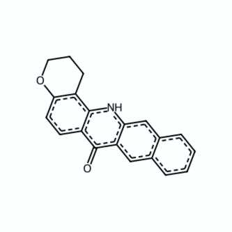 O=c1c2cc3ccccc3cc2[nH]c2c3c(ccc12)OCCC3